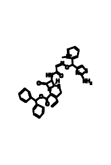 C=CC1=C(C(=O)OC(c2ccccc2)c2ccccc2)N2C(=O)C(NC(=O)/C=N\OC(c3csc(N)n3)c3cccc[n+]3C)[C@H]2SC1